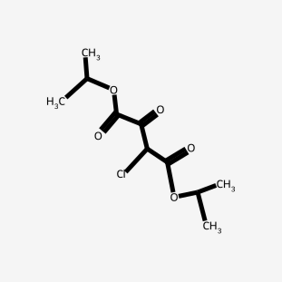 CC(C)OC(=O)C(=O)C(Cl)C(=O)OC(C)C